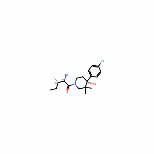 CC[C@H](C)[C@@H](N)C(=O)N1CC[C@](O)(c2ccc(Cl)cc2)C(C)(C)C1